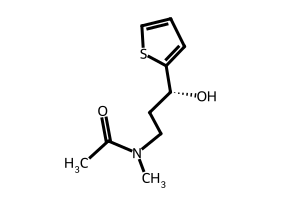 CC(=O)N(C)CC[C@@H](O)c1cccs1